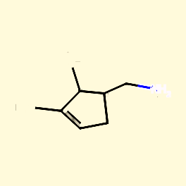 CC1=CCC(CN)C1C